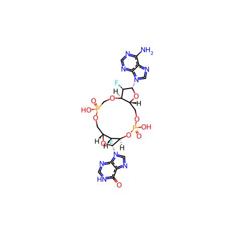 Nc1ncnc2c1ncn2[C@@H]1O[C@@H]2COP(=O)(O)O[C@@H]3[C@H](F)[C@@H](COP(=O)(O)CO[C@H]2[C@H]1F)O[C@H]3n1cnc2c(=O)[nH]cnc21